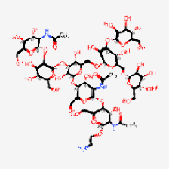 CC(=O)NC1[C@H](OC2C(O)[C@H](O)C(CO)O[C@@H]2O[C@@H]2C(O)[C@H](O[C@@H]3C(CO)O[C@@H](O[C@@H]4C(CO)O[C@@H](OCCN)C(NC(C)=O)[C@H]4O)C(NC(C)=O)[C@H]3O)OC(CO[C@H]3OC(CO[C@H]4OC(CO)[C@@H](O)[C@H](O)C4O)[C@@H](O)[C@H](O[C@H]4OC(CO)[C@@H](O)C(O)C4O)C3O)[C@H]2O)OC(CO)[C@@H](O)[C@@H]1O